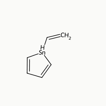 C=[CH][SnH]1[CH]=CC=[CH]1